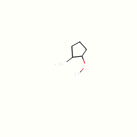 CCOC1CCCC1C=O